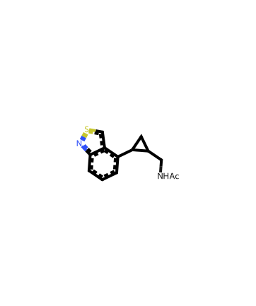 CC(=O)NCC1CC1c1cccc2nscc12